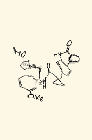 COc1cccc([C@@H](CN2CC[C@H](O)C2)NC(=O)C2(c3ccc4oc(=O)[nH]c4c3)CC2)c1